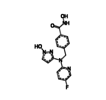 O=C(NO)c1ccc(CN(c2ccc(F)cn2)c2ccn(O)n2)cc1